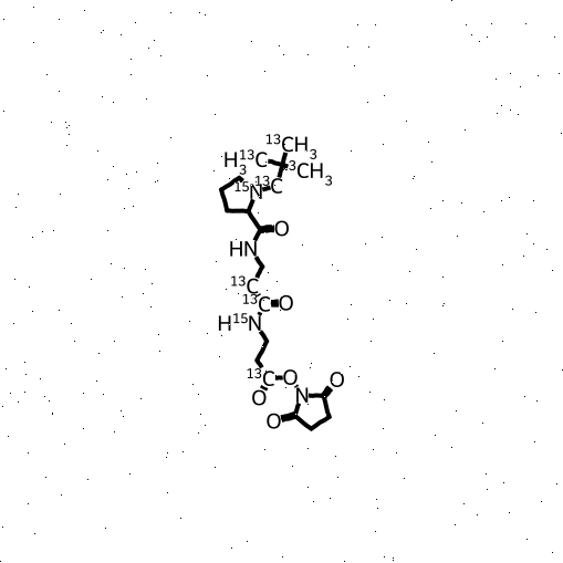 [13CH3]C([13CH3])([13CH3])[13CH2][15N]1CCCC1C(=O)NC[13CH2][13C](=O)[15NH]CC[13C](=O)ON1C(=O)CCC1=O